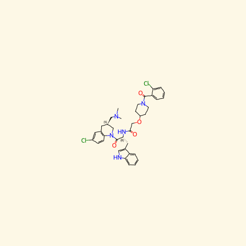 CN(C)C[C@@H]1Cc2cc(Cl)ccc2N(C(=O)[C@@H](Cc2c[nH]c3ccccc23)NC(=O)COC2CCN(C(=O)c3ccccc3Cl)CC2)C1